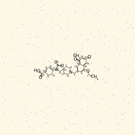 CCOc1cc(CN2CCC3(CC2)CN(C2=CC=C(C(=O)O)CC2)C(=O)O3)cc2c(OC)cc(Cl)cc12